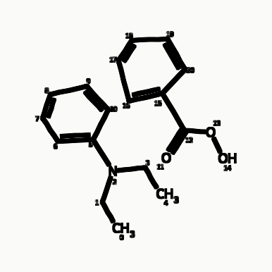 CCN(CC)c1ccccc1.O=C(OO)c1ccccc1